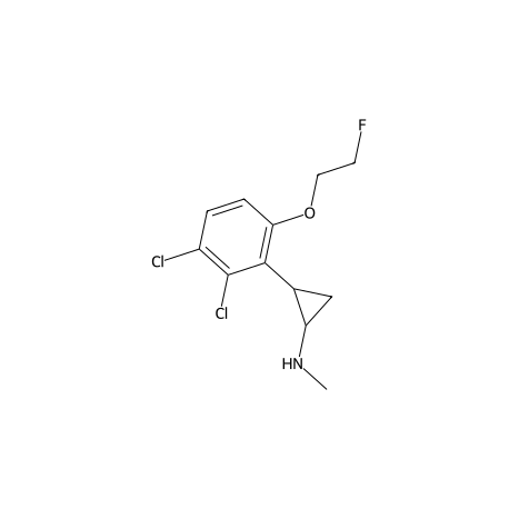 CNC1CC1c1c(OCCF)ccc(Cl)c1Cl